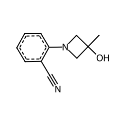 CC1(O)CN(c2ccccc2C#N)C1